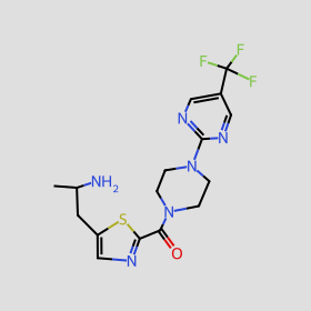 CC(N)Cc1cnc(C(=O)N2CCN(c3ncc(C(F)(F)F)cn3)CC2)s1